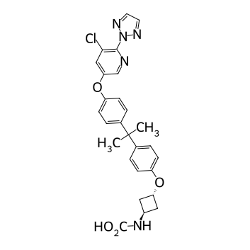 CC(C)(c1ccc(Oc2cnc(-n3nccn3)c(Cl)c2)cc1)c1ccc(O[C@H]2C[C@H](NC(=O)O)C2)cc1